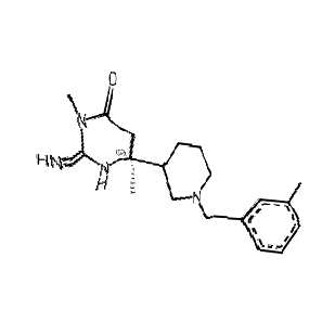 Cc1cccc(CN2CCCC([C@]3(C)CC(=O)N(C)C(=N)N3)C2)c1